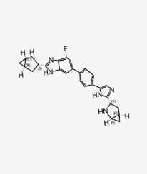 Fc1cc(-c2ccc(-c3cnc([C@@H]4C[C@H]5C[C@H]5N4)[nH]3)cc2)cc2[nH]c([C@@H]3C[C@H]4C[C@H]4N3)nc12